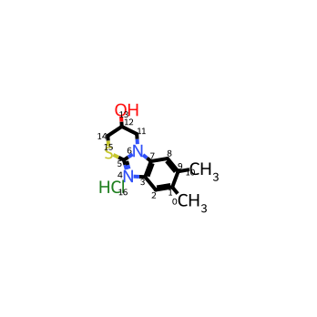 Cc1cc2nc3n(c2cc1C)CC(O)CS3.Cl